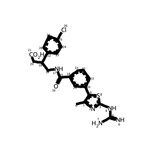 Cc1nc(NC(=N)N)sc1-c1cccc(C(=O)NCC(CC(=O)O)c2ccc(Cl)cc2)c1